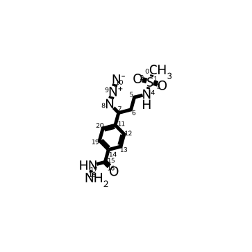 CS(=O)(=O)NCCC(N=[N+]=[N-])c1ccc(C(=O)NN)cc1